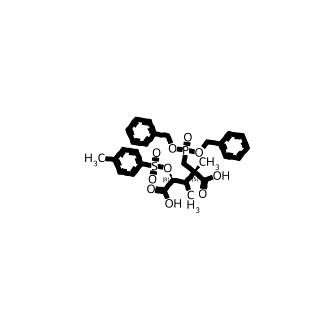 Cc1ccc(S(=O)(=O)O[C@@H](C(=O)O)C(C)[C@](C)(CP(=O)(OCc2ccccc2)OCc2ccccc2)C(=O)O)cc1